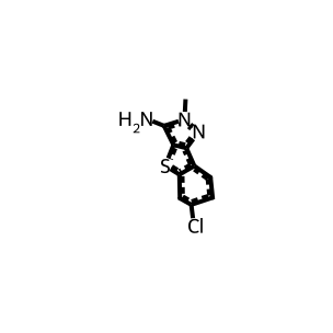 Cn1nc2c(sc3cc(Cl)ccc32)c1N